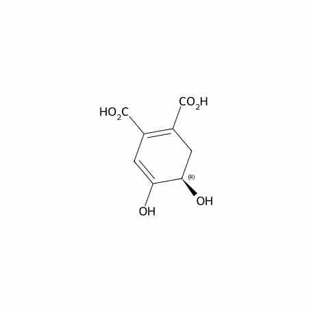 O=C(O)C1=C(C(=O)O)C[C@@H](O)C(O)=C1